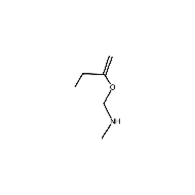 C=C(CC)OCNC